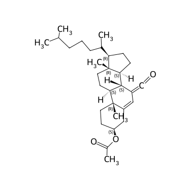 CC(=O)O[C@H]1CC[C@@]2(C)C(=CC(=C=O)[C@H]3[C@@H]4CC[C@H](C(C)CCCC(C)C)[C@@]4(C)CC[C@@H]32)C1